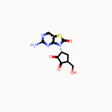 Nc1ncc2sc(=O)n([C@@H]3CC(CO)C(=O)C3=O)c2n1